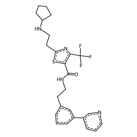 O=C(NCCc1cccc(-c2cccnc2)c1)c1sc(CCNC2CCCC2)nc1C(F)(F)F